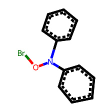 BrON(c1ccccc1)c1ccccc1